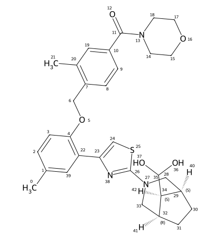 Cc1ccc(OCc2ccc(C(=O)N3CCOCC3)cc2C)c(-c2csc(N3C[C@H]4CC[C@@H](C3)[C@H]4C(O)O)n2)c1